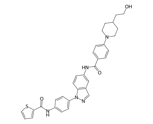 O=C(Nc1ccc2c(cnn2-c2ccc(NC(=O)c3cccs3)cc2)c1)c1ccc(N2CCC(CCO)CC2)cc1